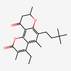 CCc1c(C)c(=O)oc2c3c(c(CCC(C)(C)C)c(C)c12)OC(C)CC3=O